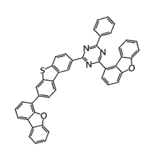 c1ccc(-c2nc(-c3ccc4sc5cc(-c6cccc7c6oc6ccccc67)ccc5c4c3)nc(-c3cccc4oc5ccccc5c34)n2)cc1